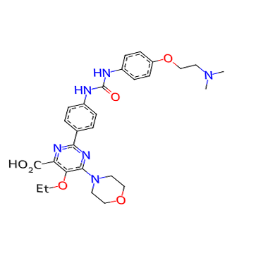 CCOc1c(C(=O)O)nc(-c2ccc(NC(=O)Nc3ccc(OCCN(C)C)cc3)cc2)nc1N1CCOCC1